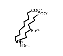 CCCCCCCCCCCCCCCCCC(=O)[O-].CCCCCCCCCCCCCCCCCC(=O)[O-].[Eu+2]